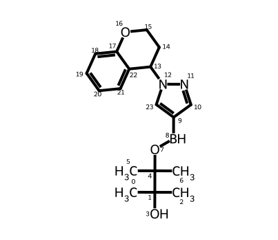 CC(C)(O)C(C)(C)OBc1cnn(C2CCOc3ccccc32)c1